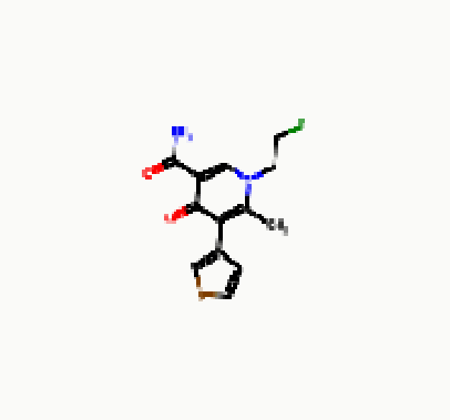 Cc1c(-c2ccsc2)c(=O)c(C(N)=O)cn1CCF